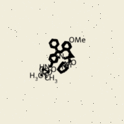 COc1ccc2c(c1)C1CC1(C(=O)N1CC3CCC(C1)N3C(C)C)Cn1c-2c(C2CCCCC2)c2ccc(C(=O)NS(=O)(=O)N(C)C)cc21